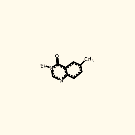 CCn1cnc2ccc(C)cc2c1=O